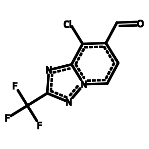 O=Cc1ccn2nc(C(F)(F)F)nc2c1Cl